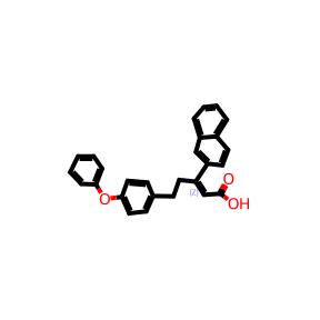 O=C(O)/C=C(/CCc1ccc(Oc2ccccc2)cc1)c1ccc2ccccc2c1